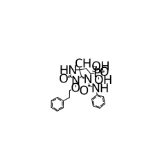 CC1(CCP(=O)(O)O)NC(=O)N(OCCc2ccccc2)C1=NC(=O)Nc1ccccc1